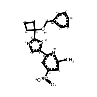 Cc1cc([N+](=O)[O-])cc(-c2cnc(C3(OCc4ccccc4)CCC3)s2)n1